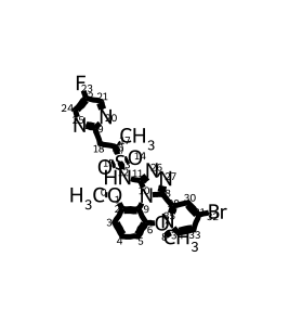 COc1cccc(OC)c1-n1c(NS(=O)(=O)[C@@H](C)Cc2ncc(F)cn2)nnc1-c1cc(Br)ccn1